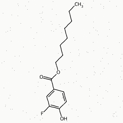 CCCCCCCCOC(=O)c1ccc(O)c(F)c1